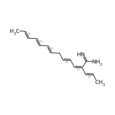 C/C=C/C=C/C=C/C/C=C/C=C(/C=C/C)C(=N)N